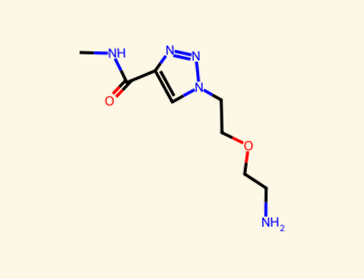 CNC(=O)c1cn(CCOCCN)nn1